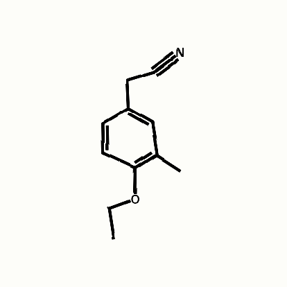 CCOc1ccc(CC#N)cc1C